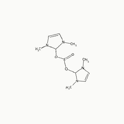 CN1C=CN(C)C1OS(=O)OC1N(C)C=CN1C